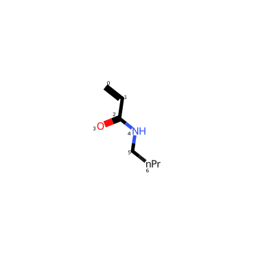 C=CC(=O)NCCCC